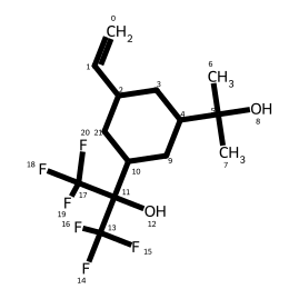 C=CC1CC(C(C)(C)O)CC(C(O)(C(F)(F)F)C(F)(F)F)C1